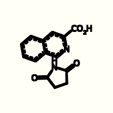 O=C(O)c1cc2ccccc2cn1.O=C1CCC(=O)N1